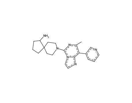 Cc1nc(N2CCC3(CCCC3N)CC2)n2ccnc2c1-c1cccnc1